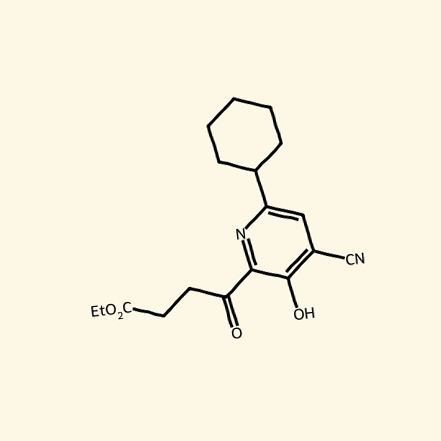 CCOC(=O)CCC(=O)c1nc(C2CCCCC2)cc(C#N)c1O